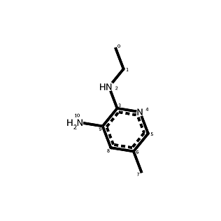 CCNc1ncc(C)cc1N